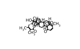 CC[C@]12CC[C@H]3[C@@H](C[C@H]4O[C@]45[C@H](C)C=CC(=O)[C@]35C)[C@]1(O)CC[C@@]2(O)[C@@](C)(O)[C@H]1CC(C)=C(C)C(=O)O1